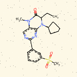 CCC1C(=O)N(C)c2cnc(-c3cccc(S(C)(=O)=O)c3)nc2N1C1CCCC1